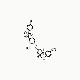 Cl.N#Cc1ccc2c(c1)[C@@H]1CN(CC[C@H]3CC[C@H](NS(=O)(=O)c4ccc(F)cc4)CC3)C[C@H]1CO2